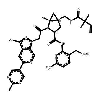 C=CC(C)(C)C(=O)NC[C@@]12C[C@@H](C(=O)Nc3nc(C(F)(F)F)ccc3COC)N(C(=O)Cn3nc(C(C)=O)c4cc(-c5cnc(C)nc5)ncc43)[C@@H]1C2